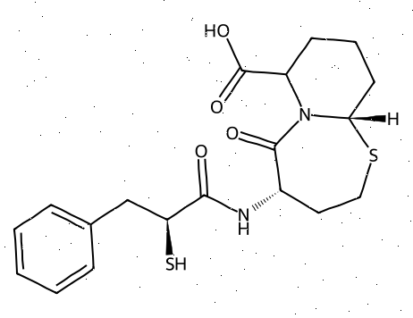 O=C(O)C1CCC[C@@H]2SCC[C@H](NC(=O)[C@@H](S)Cc3ccccc3)C(=O)N12